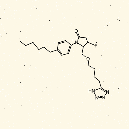 CCCCCCc1ccc(N2C(=O)CC(F)C2COCCCCc2nnn[nH]2)cc1